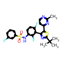 Cc1nccc(-c2sc(C(C)(C)C)nc2-c2c(F)ccc(NS(=O)(=O)c3cccc(F)c3)c2F)n1